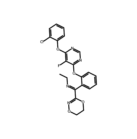 CCN=C(C1=NOCCO1)c1ccccc1Oc1ncnc(Oc2ccccc2Cl)c1F